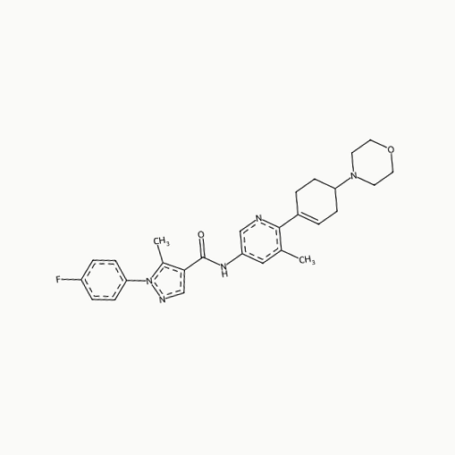 Cc1cc(NC(=O)c2cnn(-c3ccc(F)cc3)c2C)cnc1C1=CCC(N2CCOCC2)CC1